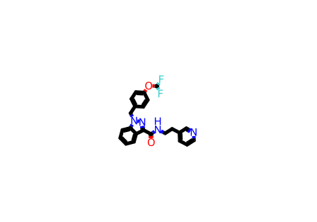 O=C(NCCc1cccnc1)c1nn(Cc2ccc(OC(F)F)cc2)c2ccccc12